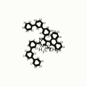 C[Si]1(C)c2nc(-c3cccc(-c4cccc(-c5ccccc5)c4)c3)nc(-c3cccc(-c4cccc(-c5ccccc5)c4)c3)c2-c2c1c1ccccc1c1ccccc21